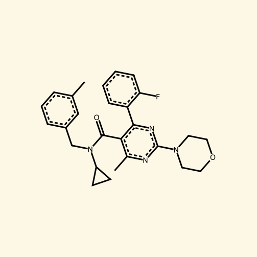 Cc1cccc(CN(C(=O)c2c(C)nc(N3CCOCC3)nc2-c2ccccc2F)C2CC2)c1